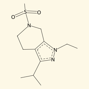 CCn1nc(C(C)C)c2c1CN(S(C)(=O)=O)CC2